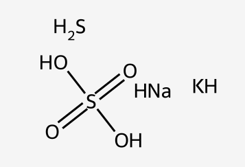 O=S(=O)(O)O.S.[KH].[NaH]